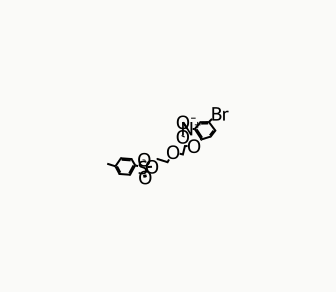 Cc1ccc(S(=O)(=O)OCCOCCOc2ccc(Br)cc2[N+](=O)[O-])cc1